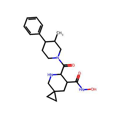 CC1CN(C(=O)C2NCC3(CC3)CC2C(=O)NO)CCC1c1ccccc1